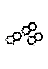 c1ccc2cnncc2c1.c1ccc2nccnc2c1.c1ccc2ncncc2c1